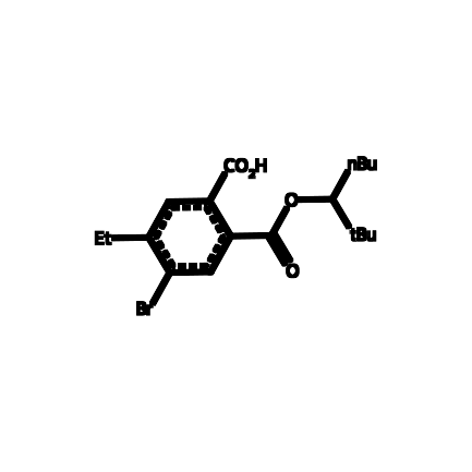 CCCCC(OC(=O)c1cc(Br)c(CC)cc1C(=O)O)C(C)(C)C